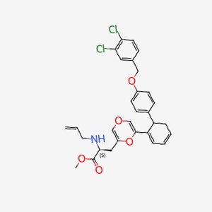 C=CCN[C@@H](CC1=COC=C(C2=CC=CCC2c2ccc(OCc3ccc(Cl)c(Cl)c3)cc2)O1)C(=O)OC